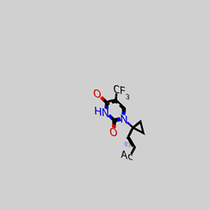 CC(=O)/C=C/C1(n2cc(C(F)(F)F)c(=O)[nH]c2=O)CC1